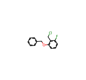 Fc1cccc(OCc2ccccc2)c1CCl